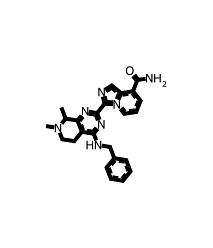 CC1c2nc(-c3ncc4c(C(N)=O)cccn34)nc(NCc3ccccc3)c2CCN1C